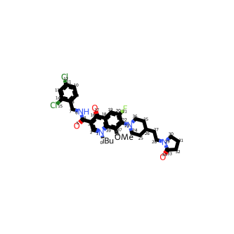 CCC(C)n1cc(C(=O)NCc2ccc(Cl)cc2Cl)c(=O)c2cc(F)c(N3CCC(CCN4CCCC4=O)CC3)c(OC)c21